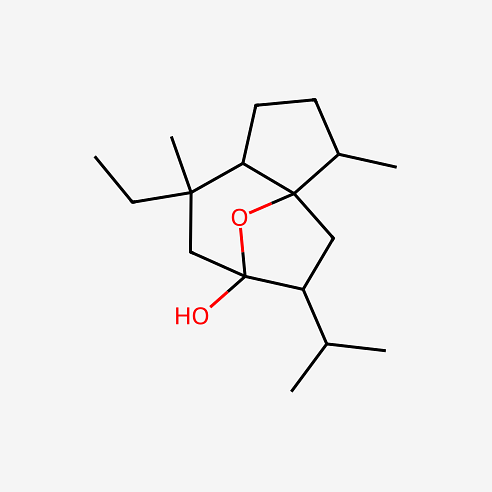 CCC1(C)CC2(O)OC3(CC2C(C)C)C(C)CCC13